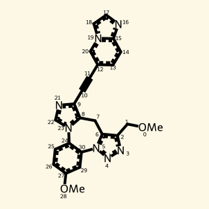 COCc1nnn2c1Cc1c(C#Cc3ccc4nccn4c3)ncn1-c1ccc(OC)cc1-2